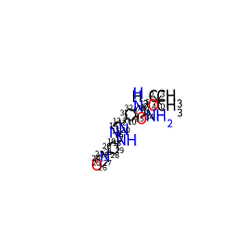 CC(C)(C)OC[C@H](Nc1ccc(-c2ccnc(Nc3ccc(N4CCOCC4)cc3)n2)cc1)C(N)=O